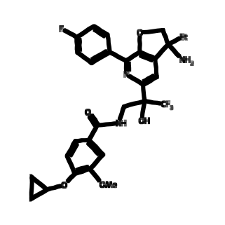 CCC1(N)COc2c1cc(C(O)(CNC(=O)c1ccc(OC3CC3)c(OC)c1)C(F)(F)F)nc2-c1ccc(F)cc1